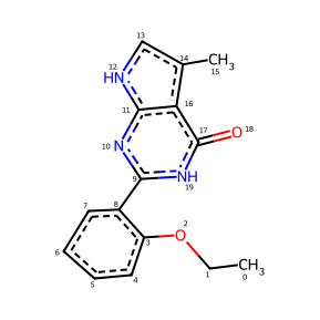 CCOc1ccccc1-c1nc2[nH]cc(C)c2c(=O)[nH]1